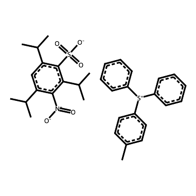 CC(C)c1cc(C(C)C)c(S(=O)(=O)[O-])c(C(C)C)c1[N+](=O)[O-].Cc1ccc([S+](c2ccccc2)c2ccccc2)cc1